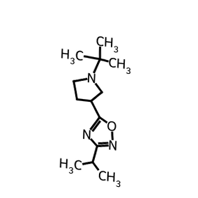 CC(C)c1noc(C2CCN(C(C)(C)C)C2)n1